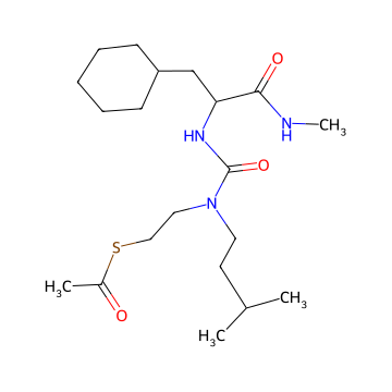 CNC(=O)C(CC1CCCCC1)NC(=O)N(CCSC(C)=O)CCC(C)C